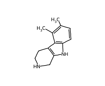 Cc1ccc2[nH]c3c(c2c1C)CCNC3